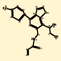 C=CC(=O)NCc1cc(-c2ccc(C(F)(F)F)cc2)c2ncoc2c1C(O)CO